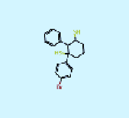 SC1CCCC(S)(c2ccc(Br)cc2)C1c1ccccc1